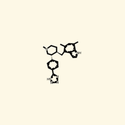 Cc1cc(C)c2[nH]ccc2c1C[C@@H]1CCN(C)C[C@H]1c1ccc(-c2nnn[nH]2)cc1